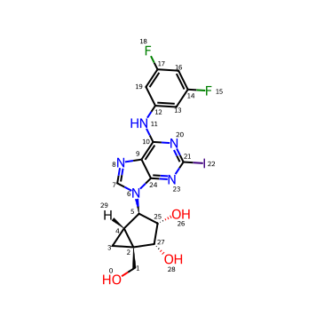 OC[C@@]12C[C@@H]1[C@@H](n1cnc3c(Nc4cc(F)cc(F)c4)nc(I)nc31)[C@H](O)[C@@H]2O